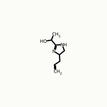 C=CCC1CNC(C(C)O)=N1